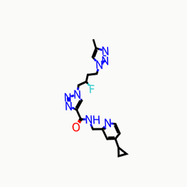 Cc1cn(CCC(F)Cn2cc(C(=O)NCc3cc(C4CC4)ccn3)nn2)nn1